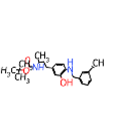 C#Cc1cccc(CNc2ccc(CCC(C)NC(=O)OC(C)(C)C)cc2O)c1